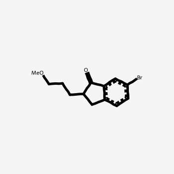 COCCCC1Cc2ccc(Br)cc2C1=O